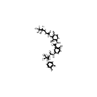 O=C(CCC(F)(F)C(F)(F)F)Nc1c(F)ccc(NC(=O)c2cc(NC(=O)[C@H]3[C@H](c4ccc(F)c(Cl)c4)C3(Cl)Cl)ccc2Cl)c1F